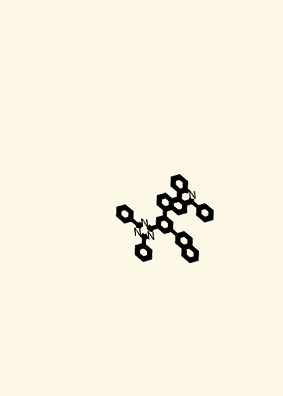 c1ccc(-c2nc(-c3ccccc3)nc(-c3cc(-c4ccc5ccccc5c4)cc(-c4cccc5c4ccc4c(-c6ccccc6)nc6ccccc6c45)c3)n2)cc1